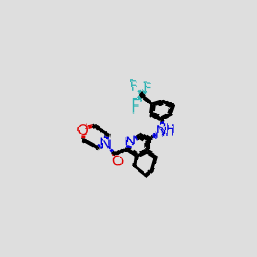 O=C(c1ncc(Nc2cccc(C(F)(F)F)c2)c2c1CCCC2)N1CCOCC1